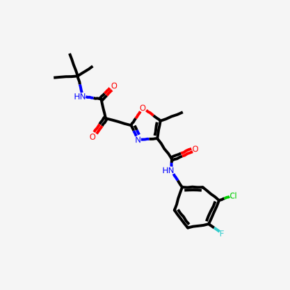 Cc1oc(C(=O)C(=O)NC(C)(C)C)nc1C(=O)Nc1ccc(F)c(Cl)c1